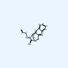 C=CCON1C(=O)N2Cc3nc4ccccc4cc3C1C2